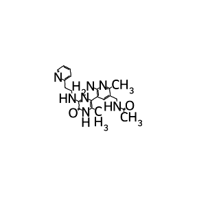 CC(=O)NCc1cc(-c2nc(NCCc3ccccn3)c(=O)[nH]c2C)c(N)nc1C